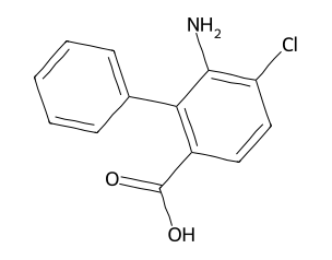 Nc1c(Cl)ccc(C(=O)O)c1-c1ccccc1